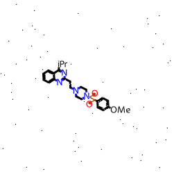 COc1ccc(S(=O)(=O)N2CCN(CCc3nc(C(C)C)c4ccccc4n3)CC2)cc1